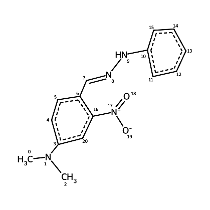 CN(C)c1ccc(C=NNc2ccccc2)c([N+](=O)[O-])c1